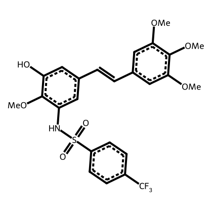 COc1cc(C=Cc2cc(O)c(OC)c(NS(=O)(=O)c3ccc(C(F)(F)F)cc3)c2)cc(OC)c1OC